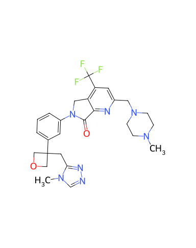 CN1CCN(Cc2cc(C(F)(F)F)c3c(n2)C(=O)N(c2cccc(C4(Cc5nncn5C)COC4)c2)C3)CC1